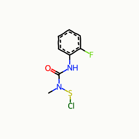 CN(SCl)C(=O)Nc1ccccc1F